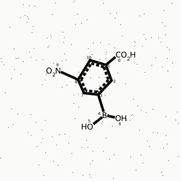 O=C(O)c1cc(B(O)O)cc([N+](=O)[O-])c1